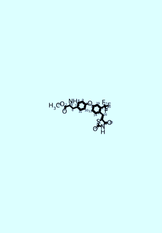 COC(=O)[C@@H](N)Cc1ccc(Oc2ccc(/C=C3\SC(=O)NC3=O)c(C(F)(F)F)c2)cc1